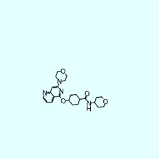 O=C(NC1CCOCC1)C1CCC(Oc2nc(N3CCOCC3)cc3ncccc23)CC1